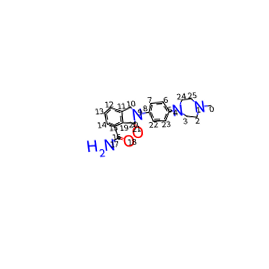 CN1CCN(c2ccc(N3Cc4cccc(C(N)=O)c4C3=O)cc2)CC1